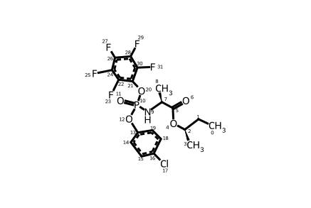 CC[C@@H](C)OC(=O)[C@H](C)NP(=O)(Oc1ccc(Cl)cc1)Oc1c(F)c(F)c(F)c(F)c1F